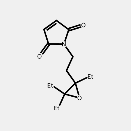 CCC1(CC)OC1(CC)CCN1C(=O)C=CC1=O